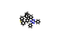 c1ccc(-c2nc(-c3ccccc3)nc(-c3cccc4c3-c3ccc(-c5cccc6sc7ccccc7c56)cc3C43C4CC5CC(C4)CC3C5)n2)cc1